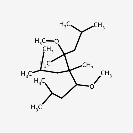 COC(CC(C)C)C(C)(CC(C)C)C(C)(CC(C)C)OC